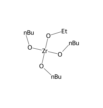 CCCC[O][Zr]([O]CC)([O]CCCC)[O]CCCC